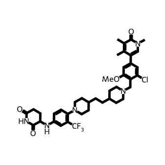 COc1cc(-c2cn(C)c(=O)c(C)c2C)cc(Cl)c1CN1CCC(CCC2CCN(c3ccc(NC4CCC(=O)NC4=O)cc3C(F)(F)F)CC2)CC1